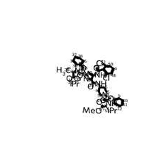 COC(=O)[C@@H](NP(=O)(Oc1ccccc1)N1CCC(NC(=O)c2nn(P(=O)(N[C@@H](C)C(=O)OC(C)C)Oc3ccccc3)cc2NC(=O)c2c(Cl)cccc2Cl)CC1)C(C)C